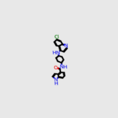 O=C(NC1CCC(Nc2ccnc3cc(Cl)ccc23)CC1)c1cccc2[nH]ccc12